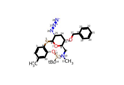 Cc1ccc(SC2O[C@H](CN(C)[S@+]([O-])C(C)(C)C)[C@@H](OCc3ccccc3)C[C@H]2N=[N+]=[N-])cc1